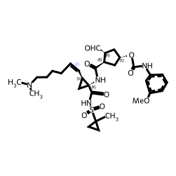 COc1cccc(NC(=O)O[C@H]2C[C@@H](C=O)[C@H](C(=O)N[C@]3(C(=O)NS(=O)(=O)C4(C)CC4)C[C@H]3/C=C\CCCCN(C)C)C2)c1